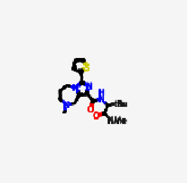 CNC(=O)C(NC(=O)c1nc(-c2cccs2)n2c1CN(C)CCC2)C(C)(C)C